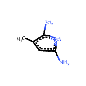 Cc1cc(N)[nH]c1N